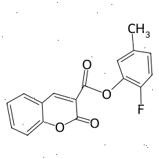 Cc1ccc(F)c(OC(=O)c2cc3ccccc3oc2=O)c1